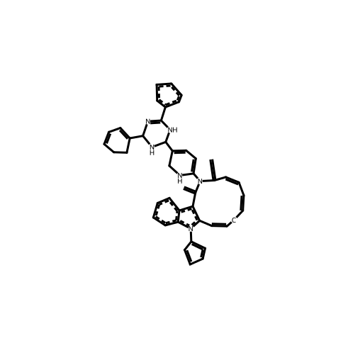 C=C1/C=C\C=C/C/C=C\c2c(c3ccccc3n2C2=C=CC=C2)C(=C)N1C1=CC=C(C2NC(c3ccccc3)=NC(C3=CC=CCC3)N2)CN1